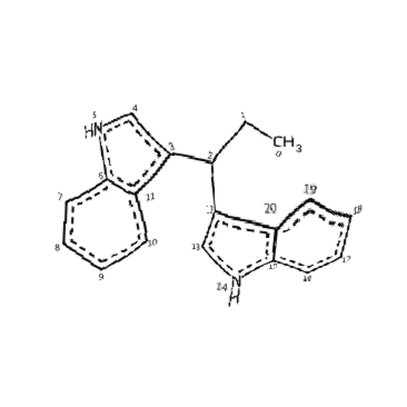 CCC(c1c[nH]c2ccccc12)c1c[nH]c2ccccc12